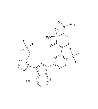 CC(=O)N1CCN(c2cc(-c3cc(-c4ccnn4CC(F)(F)F)c4c(N)ncnn34)ccc2C(F)(F)F)C(=O)C1(C)C